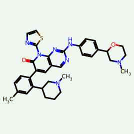 Cc1ccc(-c2cc3cnc(Nc4ccc(C5CN(C)CCO5)cc4)nc3n(-c3nccs3)c2=O)c(C2CCCN(C)C2)c1